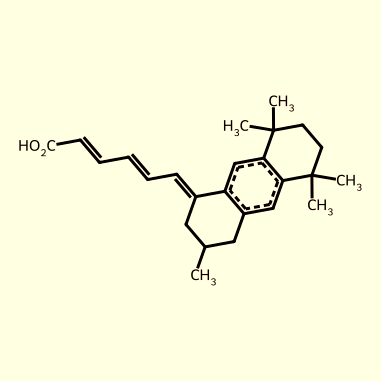 CC1CC(=CC=CC=CC(=O)O)c2cc3c(cc2C1)C(C)(C)CCC3(C)C